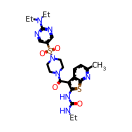 CCNC(=O)Nc1sc2nc(C)ccc2c1C(=O)N1CCN(S(=O)(=O)c2cnc(N(CC)CC)nc2)CC1